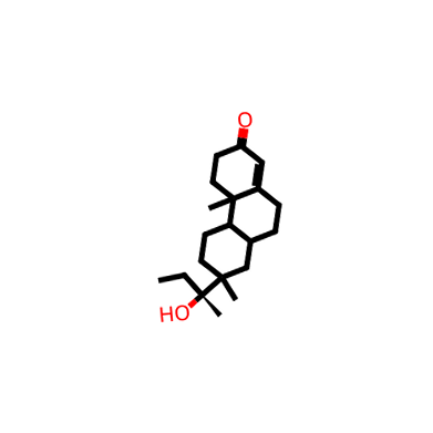 CC[C@@](C)(O)C1(C)CCC2C(CCC3=CC(=O)CCC32C)C1